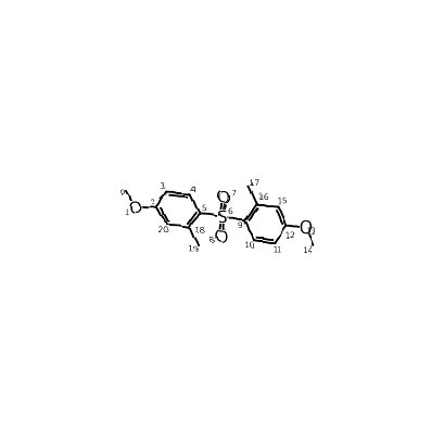 COc1ccc(S(=O)(=O)c2ccc(OC)cc2C)c(C)c1